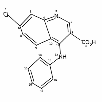 O=C(O)c1cnc2cc(Cl)ccc2c1Nc1ccccc1